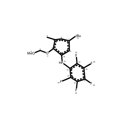 COCOc1c(C)cc(C(C)(C)C)cc1Pc1c(F)c(F)c(F)c(F)c1F